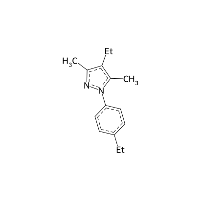 [CH2]Cc1ccc(-n2nc(C)c(CC)c2C)cc1